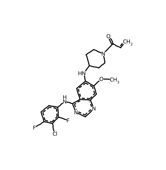 C=CC(=O)N1CCC(Nc2cc3c(Nc4ccc(F)c(Cl)c4F)ncnc3cc2OC)CC1